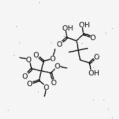 CC(C)(CC(=O)O)C(C(=O)O)C(=O)O.COC(=O)C(C(=O)OC)(C(=O)OC)C(=O)OC